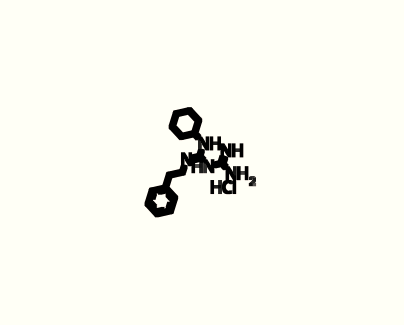 Cl.N=C(N)NC(=NCCc1ccccc1)NC1CCCCC1